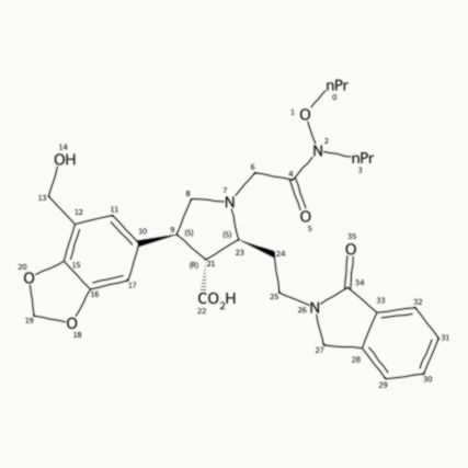 CCCON(CCC)C(=O)CN1C[C@H](c2cc(CO)c3c(c2)OCO3)[C@@H](C(=O)O)[C@@H]1CCN1Cc2ccccc2C1=O